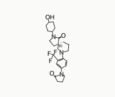 O=C1CCCN1c1ccc(N2CCC[C@@]3(CCN(C4CCC(O)CC4)C3=O)C2)c(C(F)(F)F)c1